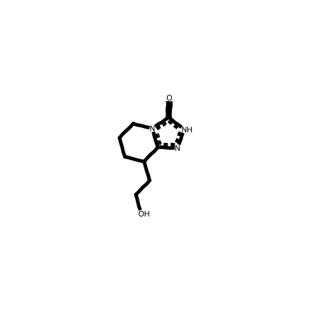 O=c1[nH]nc2n1CCCC2CCO